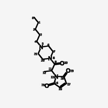 CCCCCN1CCN(C(=O)C(C)N2C(=O)C=CC2=O)CC1